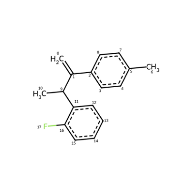 C=C(c1ccc(C)cc1)C(C)c1ccccc1F